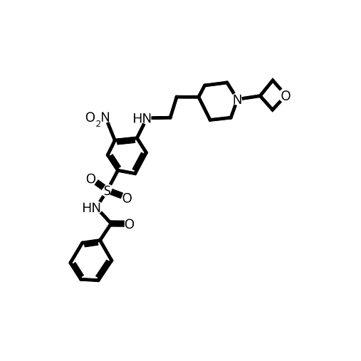 O=C(NS(=O)(=O)c1ccc(NCCC2CCN(C3COC3)CC2)c([N+](=O)[O-])c1)c1ccccc1